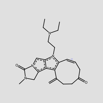 C=C1CCC(=O)C/C=C\c2c1c1c3n(cc1n2CCN(CC)CC)C(=O)N(C)C3